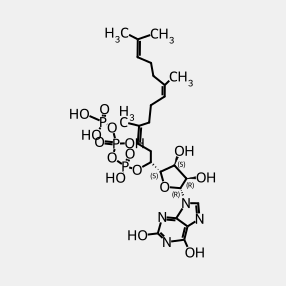 CC(C)=CCCC(C)=CCCC(C)=CCC(OP(=O)(O)OP(=O)(O)OP(=O)(O)O)[C@H]1O[C@@H](n2cnc3c(O)nc(O)nc32)[C@H](O)[C@@H]1O